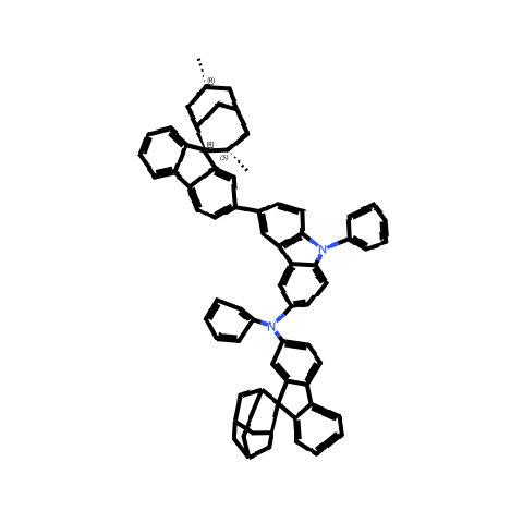 C[C@@H]1CC2CC(C1)[C@@]1(c3ccccc3-c3ccc(-c4ccc5c(c4)c4cc(N(c6ccccc6)c6ccc7c(c6)C6(c8ccccc8-7)C7CC8CC(C7)CC6C8)ccc4n5-c4ccccc4)cc31)[C@@H](C)C2